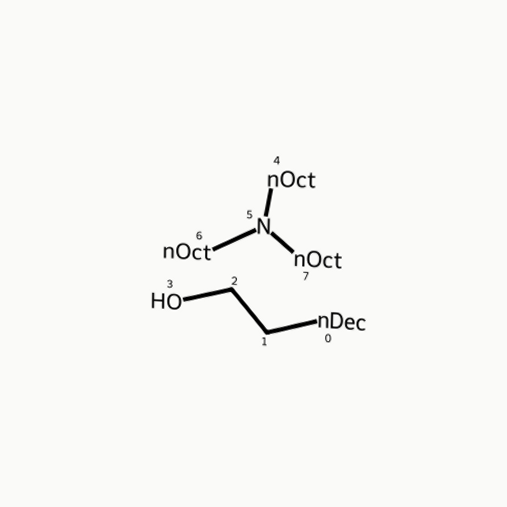 CCCCCCCCCCCCO.CCCCCCCCN(CCCCCCCC)CCCCCCCC